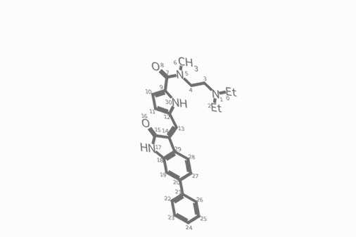 CCN(CC)CCN(C)C(=O)c1ccc(/C=C2\C(=O)Nc3cc(-c4ccccc4)ccc32)[nH]1